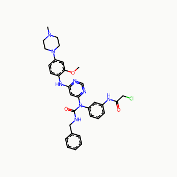 COc1cc(N2CCN(C)CC2)ccc1Nc1cc(N(C(=O)NCc2ccccc2)c2cccc(NC(=O)CCl)c2)ncn1